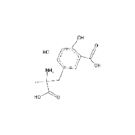 C[C@](N)(Cc1ccc(O)c(C(=O)O)c1)C(=O)O.Cl